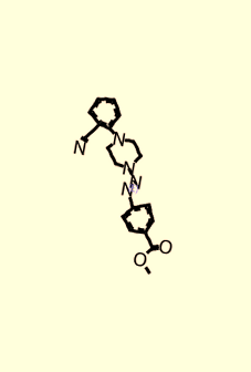 COC(=O)c1ccc(/N=N/N2CCN(c3ccccc3C#N)CC2)cc1